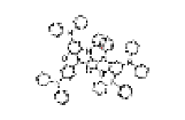 c1ccc(N(c2ccccc2)c2ccc3c(c2)Oc2cc(N(c4ccccc4)c4ccccc4)cc4c2B3c2oc3c(c2N4c2ccccc2)N(c2ccccc2)c2cc(N(c4ccccc4)c4ccccc4)cc4c2B3c2ccccc2N4c2ccccc2)cc1